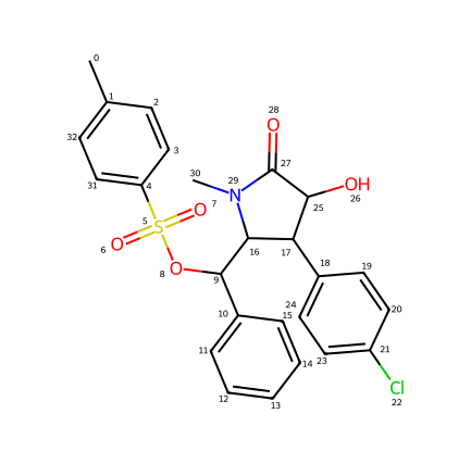 Cc1ccc(S(=O)(=O)OC(c2ccccc2)C2C(c3ccc(Cl)cc3)C(O)C(=O)N2C)cc1